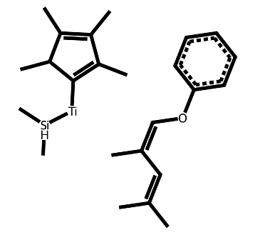 CC(C)=CC(C)=COc1ccccc1.CC1=C(C)C(C)[C]([Ti][SiH](C)C)=C1C